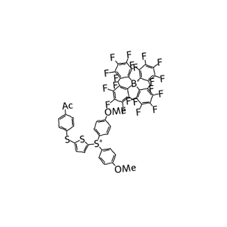 COc1ccc([S+](c2ccc(OC)cc2)c2ccc(Sc3ccc(C(C)=O)cc3)s2)cc1.Fc1c(F)c(F)c([B-](c2c(F)c(F)c(F)c(F)c2F)(c2c(F)c(F)c(F)c(F)c2F)c2c(F)c(F)c(F)c(F)c2F)c(F)c1F